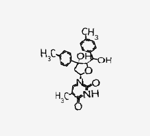 Cc1ccc(C(O)[C@H]2O[C@@H](n3cc(C)c(=O)[nH]c3=O)C[C@@]2(O)c2ccc(C)cc2)cc1